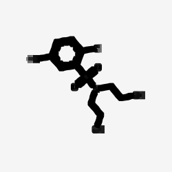 [NH]c1ccc(Cl)c(S(=O)(=O)N(CCO)CCO)c1